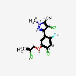 C=C(Cl)COc1cc(-c2nn(C)c(C#N)c2Cl)c(F)cc1Cl